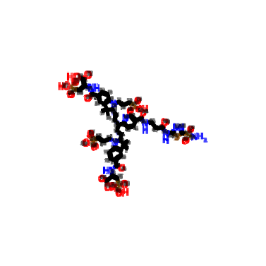 CC1(C)C(/C=C/C(=C/C=C2/N(CCCS(=O)(=O)O)c3ccc(C(=O)NC(CS(=O)(=O)O)C(=O)O)cc3C2(C)C)c2ccc(C(=O)NCCC(=O)Nc3nnc(S(N)(=O)=O)s3)cn2)=[N+](CCCS(=O)(=O)[O-])c2ccc(C(=O)NC(CS(=O)(=O)O)C(=O)O)cc21